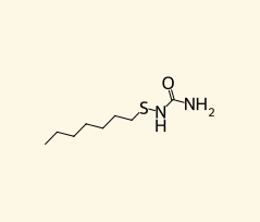 CCCCCCCSNC(N)=O